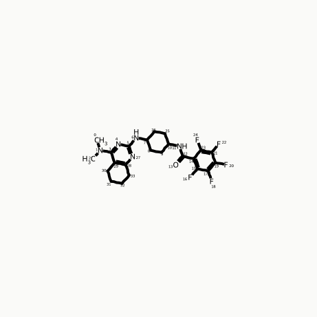 CN(C)c1nc(NC2CCC(NC(=O)c3c(F)c(F)c(F)c(F)c3F)CC2)nc2c1CCCC2